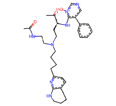 CC(=O)NCCN(CCCCc1ccc2c(n1)NCCC2)CC[C@H](Nc1c(-c2ccccc2)cnc[n+]1O)C(C)=O